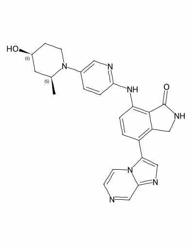 C[C@H]1C[C@@H](O)CCN1c1ccc(Nc2ccc(-c3cnc4cnccn34)c3c2C(=O)NC3)nc1